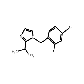 CC(C)c1nccn1Cc1ccc(Br)cc1F